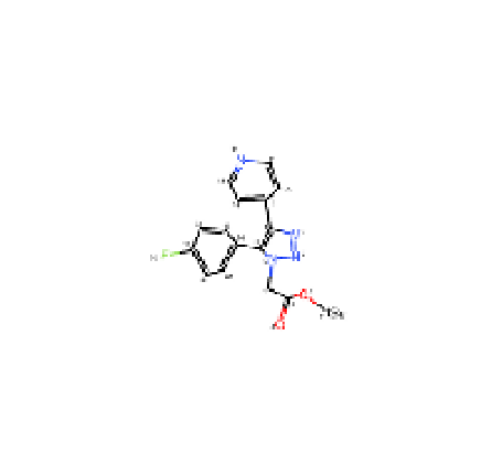 CC(C)(C)OC(=O)Cn1nnc(-c2ccncc2)c1-c1ccc(F)cc1